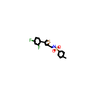 Cc1ccc(S(=O)(=O)N=Cc2cc(-c3ccc(F)cc3F)cs2)cc1